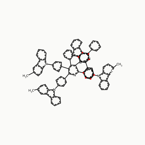 Cc1ccc2c(c1)c1ccccc1n2-c1ccc(-c2nc(-c3ccc(-n4c5ccccc5c5cc(C)ccc54)cc3)c(-c3cccc4c3oc3ccccc34)c(-c3ccccc3-c3nc(-c4ccccc4)nc(-c4ccccc4)n3)c2-c2ccc(-n3c4ccccc4c4cc(C)ccc43)cc2)cc1